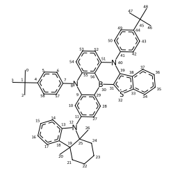 CC(C)(C)c1ccc(N2c3cc(N4c5ccccc5C5(C)CCCCC45C)ccc3B3c4sc5ccccc5c4N(c4ccc(C(C)(C)C)cc4)c4cccc2c43)cc1